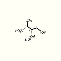 O.O=C(O)[C@H](O)[C@@H](O)CO